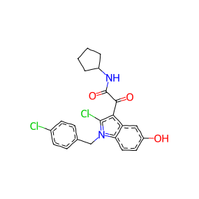 O=C(NC1CCCC1)C(=O)c1c(Cl)n(Cc2ccc(Cl)cc2)c2ccc(O)cc12